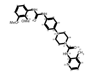 COc1cccc(NC(=O)Nc2ccc(N3CCN(C(=O)Nc4ncccc4C)CC3)cc2)c1OC